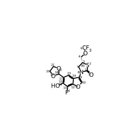 O=C1S[C@@H](COC(F)(F)F)CN1c1coc2c(F)c(O)c(C3OCCO3)cc12